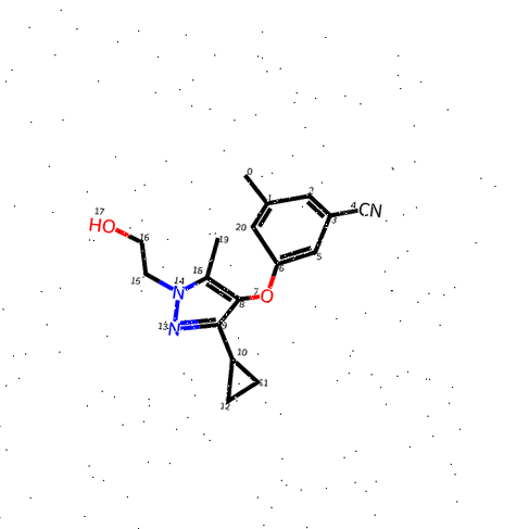 Cc1cc(C#N)cc(Oc2c(C3CC3)nn(CCO)c2C)c1